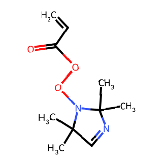 C=CC(=O)OON1C(C)(C)C=NC1(C)C